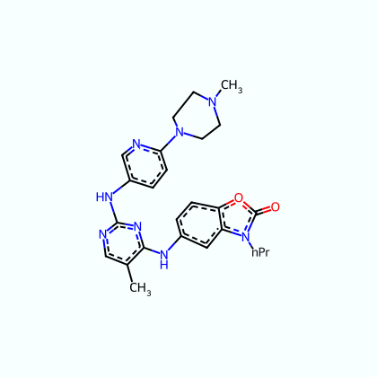 CCCn1c(=O)oc2ccc(Nc3nc(Nc4ccc(N5CCN(C)CC5)nc4)ncc3C)cc21